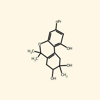 CCCc1cc(O)c2c(c1)OC(C)(C)C1=C2CC(C)(O)C(O)C1